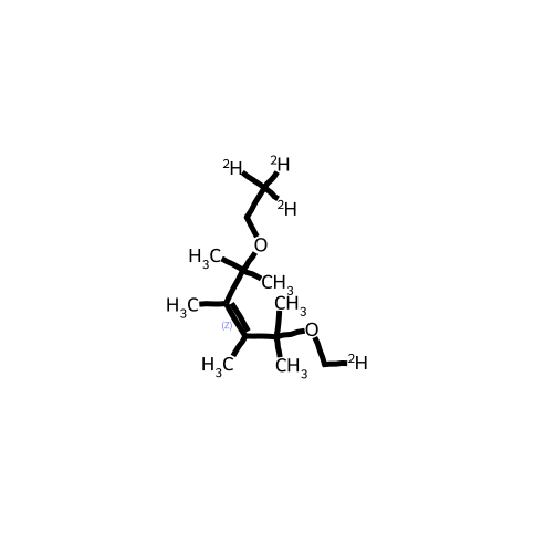 [2H]COC(C)(C)/C(C)=C(/C)C(C)(C)OCC([2H])([2H])[2H]